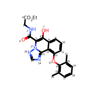 CCOC(=O)CNC(=O)c1c(O)c2cccc(Oc3c(C)cccc3C)c2c2ncnn12